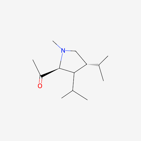 CC(=O)[C@@H]1C(C(C)C)[C@@H](C(C)C)CN1C